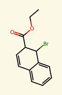 CCOC(=O)C1C=Cc2ccccc2C1Br